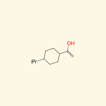 C=C(O)C1CCC(C(C)C)CC1